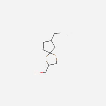 CCOC(=O)CC1CCC2(C1)SCC(CO)S2